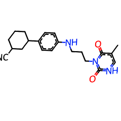 Cc1c[nH]c(=O)n(CCCNc2ccc(C3CCCC(C#N)C3)cc2)c1=O